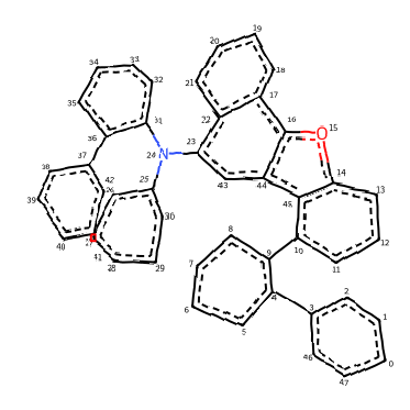 c1ccc(-c2ccccc2-c2cccc3oc4c5ccccc5c(N(c5ccccc5)c5ccccc5-c5ccccc5)cc4c23)cc1